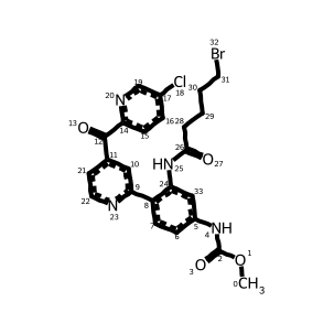 COC(=O)Nc1ccc(-c2cc(C(=O)c3ccc(Cl)cn3)ccn2)c(NC(=O)CCCCBr)c1